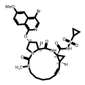 COc1ccc2c(O[C@@H]3C[C@H]4C(=O)N[C@]5(C(=O)NS(=O)(=O)C6CC6)C[C@H]5/C=C\CCCCN(C)C(=O)N4C3)ncc(Br)c2c1